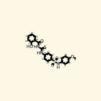 COc1ccc(NS(=O)(=O)c2ccc(NC(=S)NC(=O)c3ccccc3O)cc2)cc1